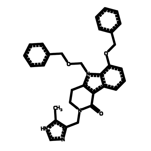 Cc1[nH]cnc1CN1CCc2c(c3cccc(OCc4ccccc4)c3n2COCc2ccccc2)C1=O